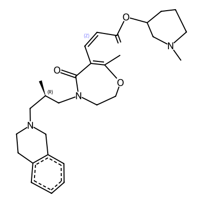 C=C(/C=C\C1=C(C)OCCN(C[C@H](C)CN2CCc3ccccc3C2)C1=O)OC1CCCN(C)C1